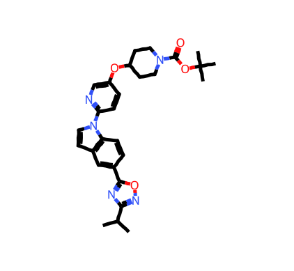 CC(C)c1noc(-c2ccc3c(ccn3-c3ccc(OC4CCN(C(=O)OC(C)(C)C)CC4)cn3)c2)n1